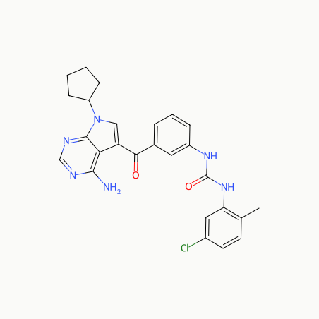 Cc1ccc(Cl)cc1NC(=O)Nc1cccc(C(=O)c2cn(C3CCCC3)c3ncnc(N)c23)c1